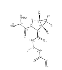 C=CC(=O)N[C@H](C)NC(=O)[C@@H]1[C@@H]2[C@H](CN1C(=O)[C@@H](NC(C)=O)C(C)(C)C)C2(C)C